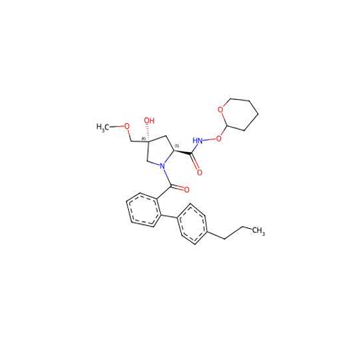 CCCc1ccc(-c2ccccc2C(=O)N2C[C@@](O)(COC)C[C@H]2C(=O)NOC2CCCCO2)cc1